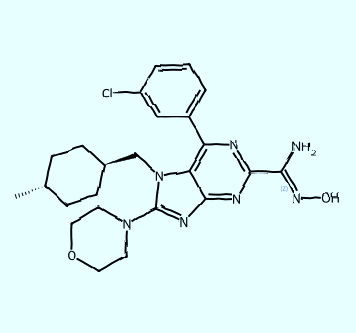 C[C@H]1CC[C@H](Cn2c(N3CCOCC3)nc3nc(/C(N)=N/O)nc(-c4cccc(Cl)c4)c32)CC1